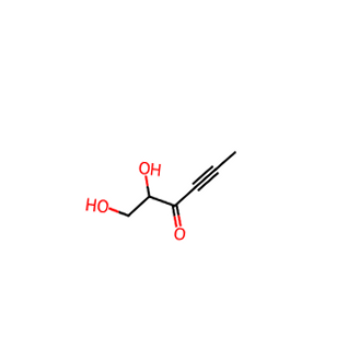 CC#CC(=O)C(O)CO